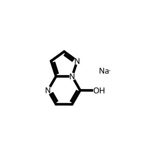 Oc1ccnc2ccnn12.[Na]